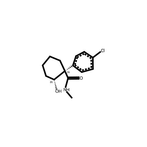 CNC(=O)[C@]1(c2ccc(Cl)cc2)CCCC[C@H]1O